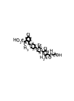 CC[C@H]1CN(c2nc(N)c(C(=O)NCCO)nc2Cl)CCN1C1CCN(Cc2ccc(Cl)cc2C(C)C(=O)O)CC1